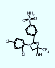 NS(=O)(=O)c1ccc(C2=NC(O)(C(F)(F)F)CN2c2ccc(Cl)cc2Cl)cc1